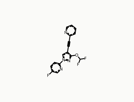 Fc1ccc(-n2cc(C#Cc3ccccn3)c(OC(F)F)n2)nc1